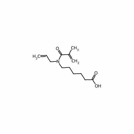 C=CCN(CCCCCC(=O)O)C(=O)C(=C)C